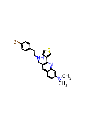 CN(C)c1ccc2cc(CNCCc3ccc(Br)cc3)c(-c3ccsc3)nc2c1